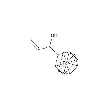 C=CC(O)[C]12[CH]3[CH]4[CH]5[CH]1[Fe]45321678[CH]2[CH]1[CH]6[CH]7[CH]28